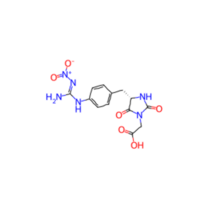 NC(=N[N+](=O)[O-])Nc1ccc(C[C@@H]2NC(=O)N(CC(=O)O)C2=O)cc1